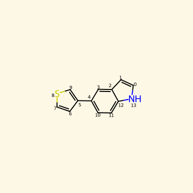 c1cc2cc(-c3ccsc3)ccc2[nH]1